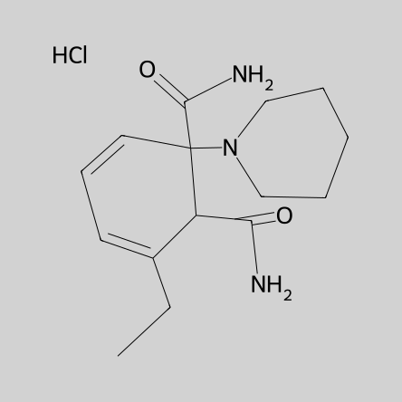 CCC1=CC=CC(C(N)=O)(N2CCCCC2)C1C(N)=O.Cl